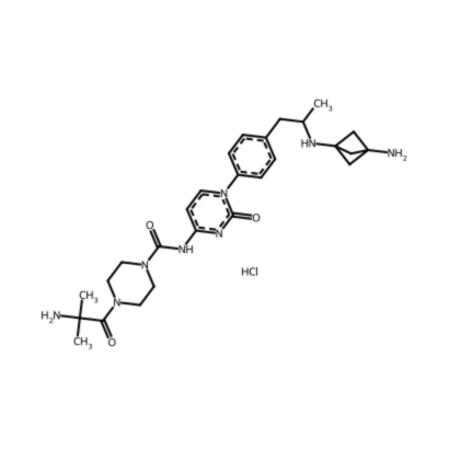 CC(Cc1ccc(-n2ccc(NC(=O)N3CCN(C(=O)C(C)(C)N)CC3)nc2=O)cc1)NC12CC(N)(C1)C2.Cl